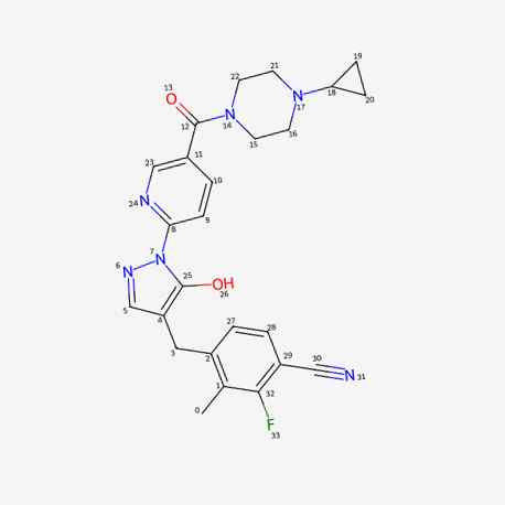 Cc1c(Cc2cnn(-c3ccc(C(=O)N4CCN(C5CC5)CC4)cn3)c2O)ccc(C#N)c1F